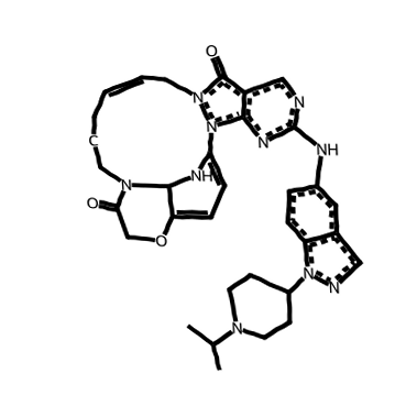 CC(C)N1CCC(n2ncc3cc(Nc4ncc5c(=O)n6n(c5n4)C4=CC=C5OCC(=O)N(CCC/C=C\C6)C5N4)ccc32)CC1